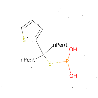 CCCCCC(CCCCC)(SP(O)O)c1cccs1